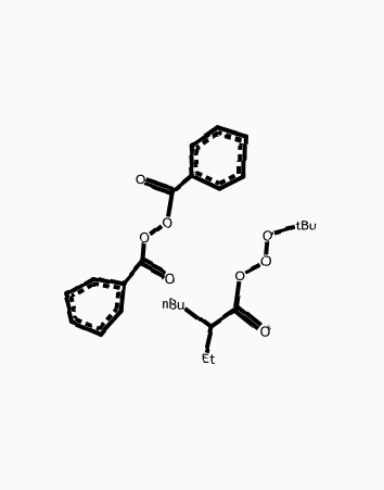 CCCCC(CC)C(=O)OOOC(C)(C)C.O=C(OOC(=O)c1ccccc1)c1ccccc1